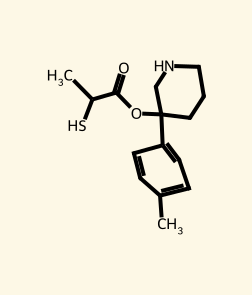 Cc1ccc(C2(OC(=O)C(C)S)CCCNC2)cc1